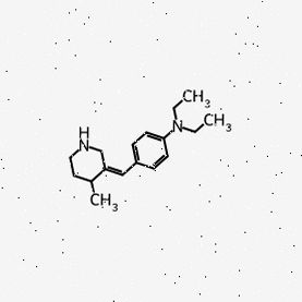 CCN(CC)c1ccc(C=C2CNCCC2C)cc1